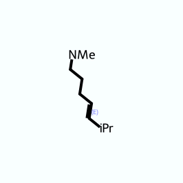 CNCCC/C=C/C(C)C